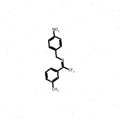 Cc1cccc(/C(=N\Cc2ccc([N+](=O)[O-])cc2)C(F)(F)F)c1